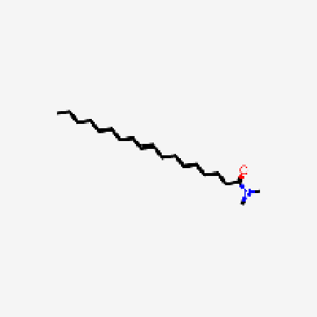 CCCCCCCCC=CCCCCCCCC(=O)N(C)C